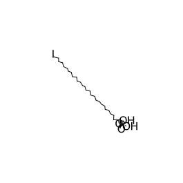 O=P(O)(O)OCCCCCCCCCCCCCCCCCCCCCCCCCCCCI